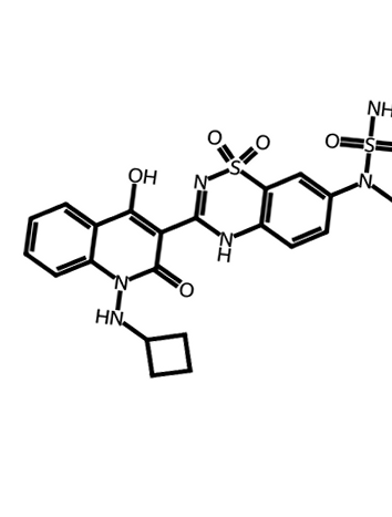 CN(c1ccc2c(c1)S(=O)(=O)N=C(c1c(O)c3ccccc3n(NC3CCC3)c1=O)N2)S(N)(=O)=O